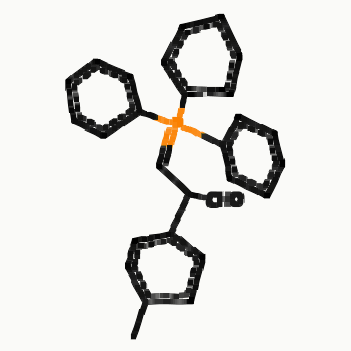 Cc1ccc(C(C=O)C=P(c2ccccc2)(c2ccccc2)c2ccccc2)cc1